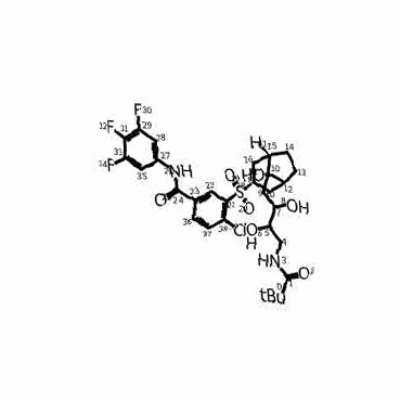 CC(C)(C)C(=O)NCC(O)C(O)C[C@@]1(O)C2CC[C@H]1C[C@H](S(=O)(=O)c1cc(C(=O)Nc3cc(F)c(F)c(F)c3)ccc1Cl)C2